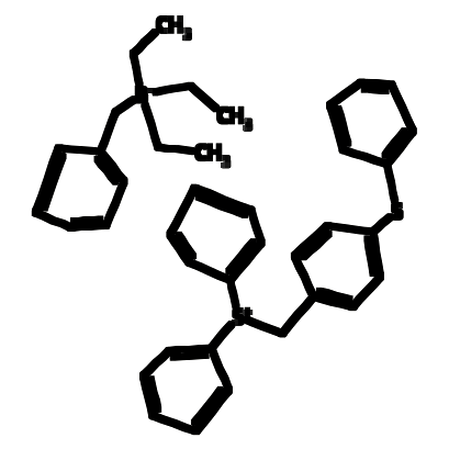 CC[B-](CC)(CC)Cc1ccccc1.c1ccc(Sc2ccc(C[S+](c3ccccc3)c3ccccc3)cc2)cc1